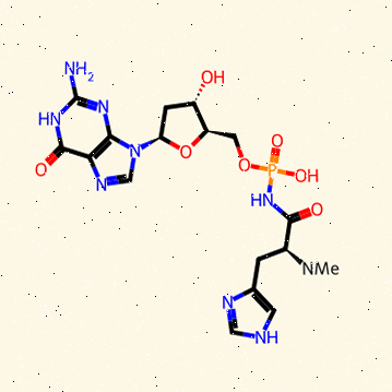 CN[C@@H](Cc1c[nH]cn1)C(=O)NP(=O)(O)OC[C@H]1O[C@@H](n2cnc3c(=O)[nH]c(N)nc32)C[C@@H]1O